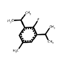 Cc1cc(C(C)C)c(F)c(C(C)C)c1